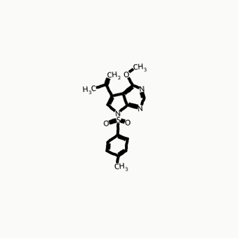 C=C(C)c1cn(S(=O)(=O)c2ccc(C)cc2)c2ncnc(OC)c12